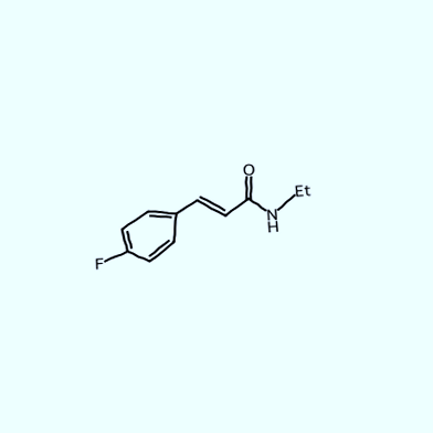 CCNC(=O)/C=C/c1ccc(F)cc1